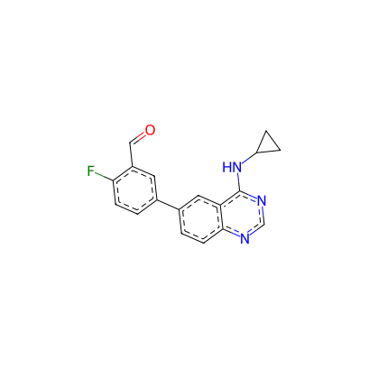 O=Cc1cc(-c2ccc3ncnc(NC4CC4)c3c2)ccc1F